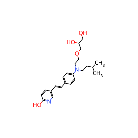 CC(C)CCN(CCOCC(O)CO)c1ccc(/C=C/c2ccc(O)nc2)cc1